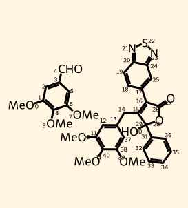 COc1cc(C=O)cc(OC)c1OC.COc1cc(CC2=C(c3ccc4nsnc4c3)C(=O)OC2(O)c2ccccc2)cc(OC)c1OC